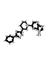 CCn1cnc2ncc(N3CCCC(c4nnc(-c5ccccc5)s4)C3)nc21